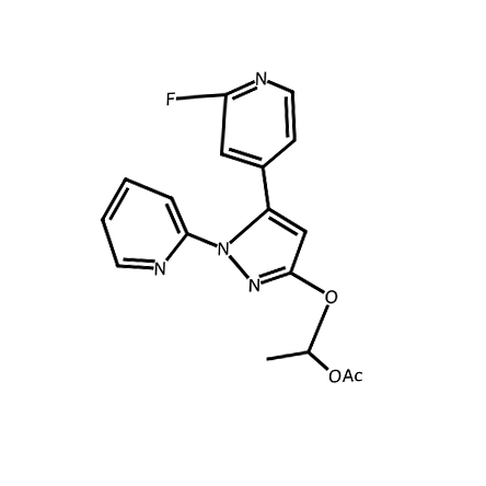 CC(=O)OC(C)Oc1cc(-c2ccnc(F)c2)n(-c2ccccn2)n1